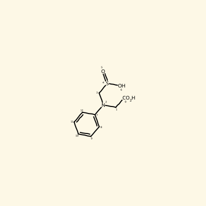 O=C(O)CN(CS(=O)O)c1ccccc1